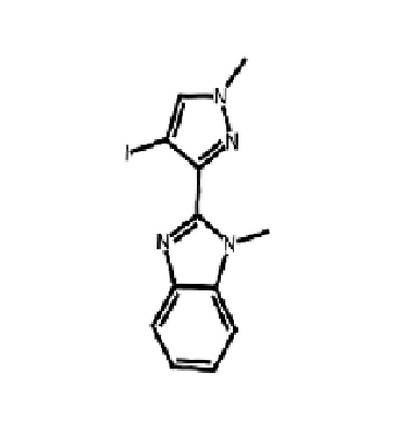 Cn1cc(I)c(-c2nc3ccccc3n2C)n1